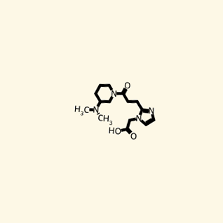 CN(C)C1CCCN(C(=O)CCc2nccn2CC(=O)O)C1